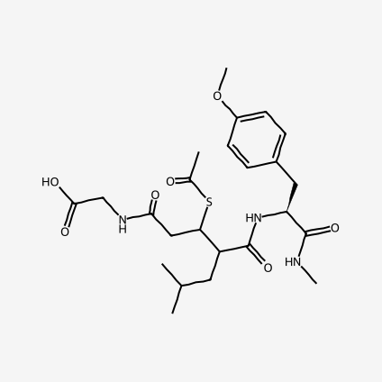 CNC(=O)[C@H](Cc1ccc(OC)cc1)NC(=O)C(CC(C)C)C(CC(=O)NCC(=O)O)SC(C)=O